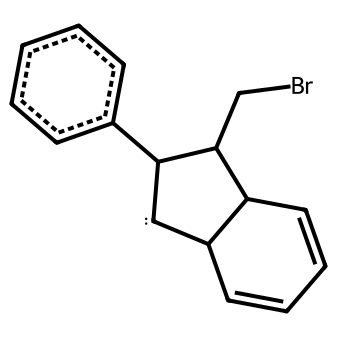 BrCC1C(c2ccccc2)[C]C2C=CC=CC21